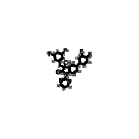 CC1(Cc2cc(F)cc(F)c2)C(=O)N(c2ncccn2)c2ccc(-c3ccc(F)c(F)c3)cc21